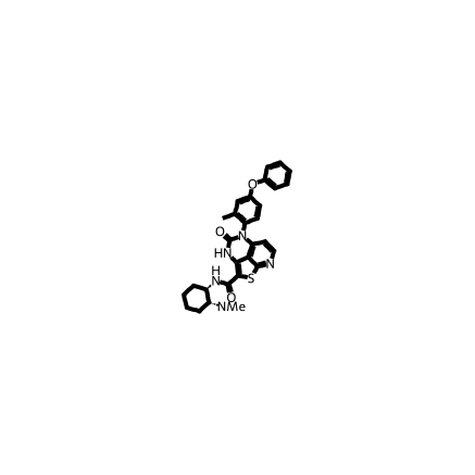 CN[C@@H]1CCCC[C@@H]1NC(=O)c1sc2nccc3c2c1NC(=O)N3c1ccc(Oc2ccccc2)cc1C